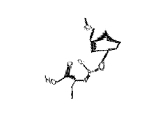 COc1cccc(O[P+]([O-])=N[C@@H](C)C(=O)O)c1